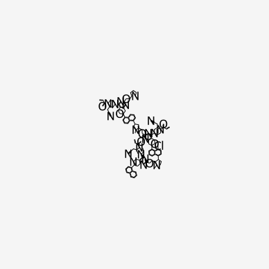 C=CC(=O)N1CCN(c2nc(OCC3CCCN3C)nc3c2COC(c2cccc4c(C5CC(COc6nc7c(c(N8CCN(C(=O)C=C)C(CC#N)C8)n6)COC(c6cccc8c(C9CCN(C)C9COc9nc%10c(c(N%11CCN(C(=O)C=C)C(CC#N)C%11)n9)CN(C)C(c9cccc%11ccccc9%11)C%10)ccc(Cl)c68)C7)N(C)C5)cccc24)C3)CC1CC#N